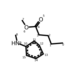 CCCCC(=O)OC.CNc1ccccc1